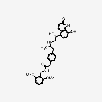 COc1cccc(OC)c1CNC(=O)Cc1ccc(C[C@@H](C)NC[C@@H](O)c2ccc(O)c3[nH]c(=O)ccc23)cc1